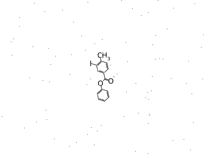 Cc1ccc(C(=O)Oc2ccccc2)cc1I